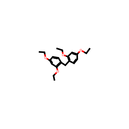 CCOc1ccc(Cc2ccc(OCC)cc2OCC)c(OCC)c1